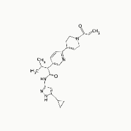 C=CC(=O)N1CC=C(c2ccc(C(C(=O)Nc3cc(C4CC4)[nH]n3)C(C)C)cn2)CC1